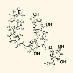 C[C@H](CC[C@@H](O[C@@H]1OC(CO[C@H]2O[C@H](CO)[C@@H](O)C[C@H]2O)C[C@H](O)C1O[C@H]1C[C@@H](O)C[C@@H](CO)O1)C(C)(C)O)C1CC[C@@]2(C)C3CC=C4C(CC[C@H](O)C4(C)C)[C@]3(C)CC[C@]12C